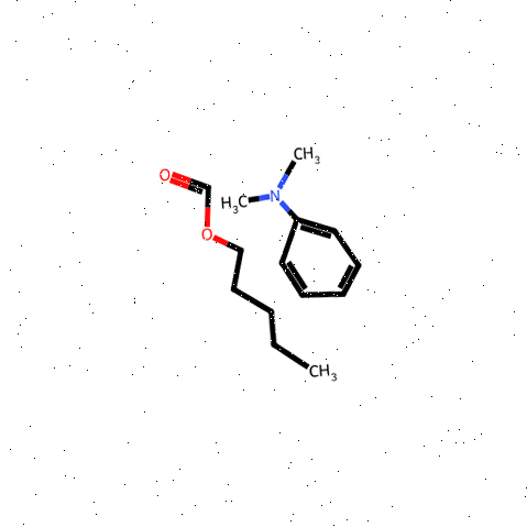 CCCCCOC=O.CN(C)c1ccccc1